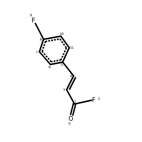 O=C(F)/C=C/c1ccc(F)cc1